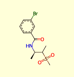 CC([C@@H](C)NC(=O)c1cccc(Br)c1)S(C)(=O)=O